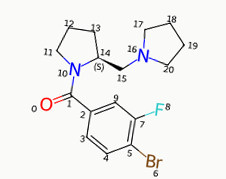 O=C(c1ccc(Br)c(F)c1)N1CCC[C@H]1CN1CCCC1